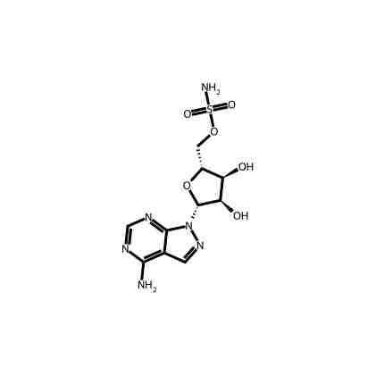 Nc1ncnc2c1cnn2[C@@H]1O[C@H](COS(N)(=O)=O)[C@@H](O)[C@H]1O